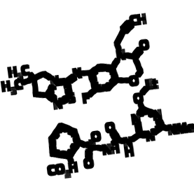 C#CCN1C(=O)COc2cc(F)c(/N=c3\snc4n3CC(C)(C)C4)cc21.CCOc1nc(NC)nc(NC(=O)NS(=O)(=O)c2ccccc2C(=O)O)n1